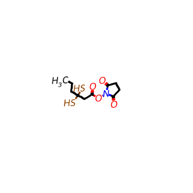 CCCC(S)(S)CC(=O)ON1C(=O)CCC1=O